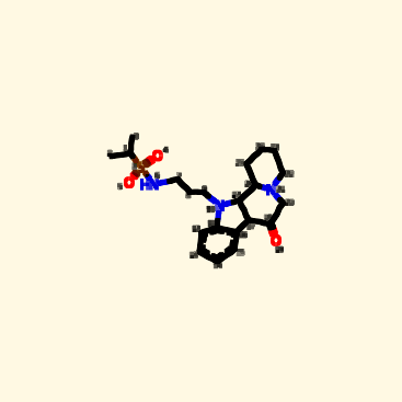 CC(C)S(=O)(=O)NCCCN1c2ccccc2C2C(=O)CN3CCCCC3C21